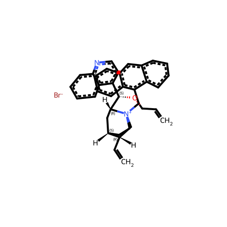 C=CCO[C@@H](c1ccnc2ccccc12)[C@H]1C[C@@H]2CC[N+]1(Cc1c3ccccc3cc3ccccc13)C[C@@H]2C=C.[Br-]